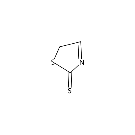 S=C1N=CCS1